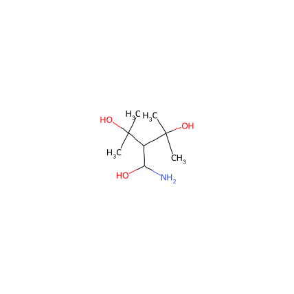 CC(C)(O)C(C(N)O)C(C)(C)O